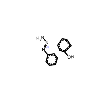 N/N=N/c1ccccc1.Oc1ccccc1